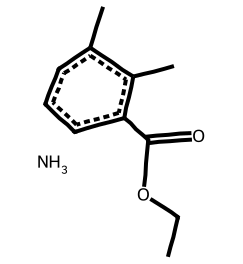 CCOC(=O)c1cccc(C)c1C.N